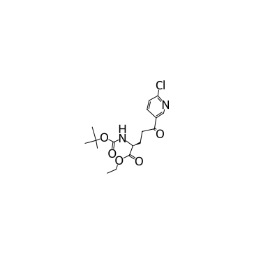 CCOC(=O)[C@H](CCC(=O)c1ccc(Cl)nc1)NC(=O)OC(C)(C)C